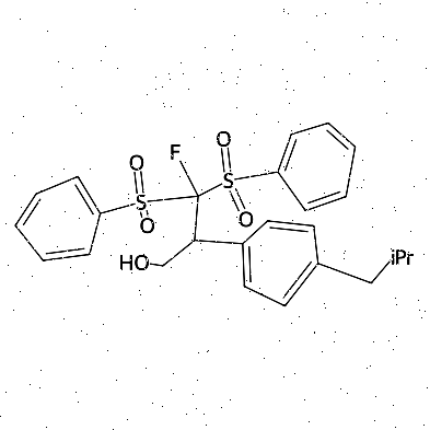 CC(C)Cc1ccc(C(CO)C(F)(S(=O)(=O)c2ccccc2)S(=O)(=O)c2ccccc2)cc1